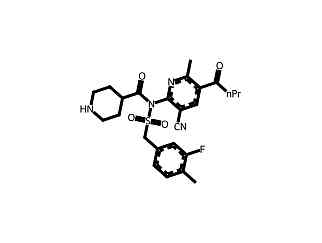 CCCC(=O)c1cc(C#N)c(N(C(=O)C2CCNCC2)S(=O)(=O)Cc2ccc(C)c(F)c2)nc1C